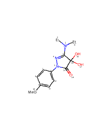 CCN(CC)C1=NN(c2ccc(OC)cc2)C(=O)C1(O)O